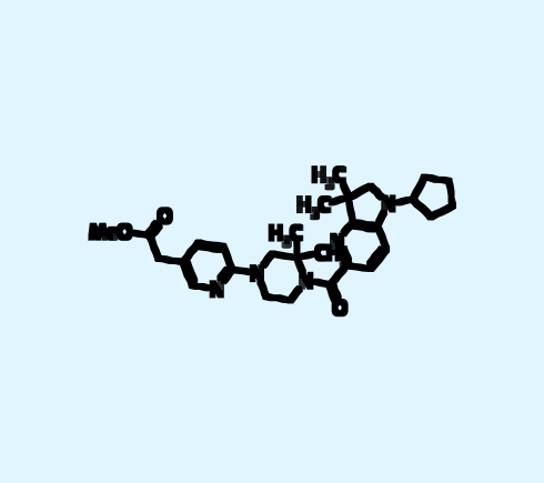 COC(=O)Cc1ccc(N2CCN(C(=O)c3ccc4c(n3)C(C)(C)CN4C3CCCC3)C(C)(C)C2)nc1